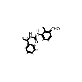 Cc1c(C=O)cccc1NC(=O)NC(C)c1ccccc1